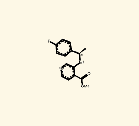 COC(=O)c1ccncc1N[C@H](C)c1ccc(F)cc1